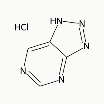 Cl.c1ncc2[nH]nnc2n1